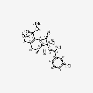 CC(=O)OCC1=C(C(=O)OC(C)(C)C)N2C(=O)[C@@](Cl)(N=C(Cl)c3cccc(Cl)c3)[C@H]2SC1